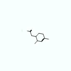 CC1=CC(C)[C](CC(=O)O)CC1